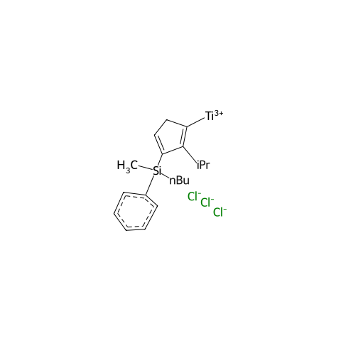 CCCC[Si](C)(C1=CC[C]([Ti+3])=C1C(C)C)c1ccccc1.[Cl-].[Cl-].[Cl-]